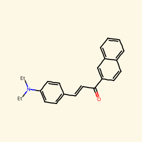 CCN(CC)c1ccc(C=CC(=O)c2ccc3ccccc3c2)cc1